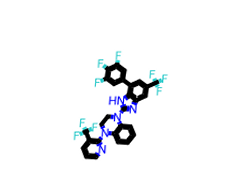 Fc1cc(-c2cc(C(F)(F)F)cc3nc(N4CCN(c5ncccc5C(F)(F)F)c5ccccc54)[nH]c23)cc(F)c1F